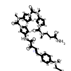 CN(CCC(N)=O)C(=O)n1ccc(N(C)C(=O)n2ccc(N(C)C(=O)n3ccc(NC(=O)C(=O)/C=C/c4ccc([S+]([O-])CCCl)cc4)c3)c2)c1